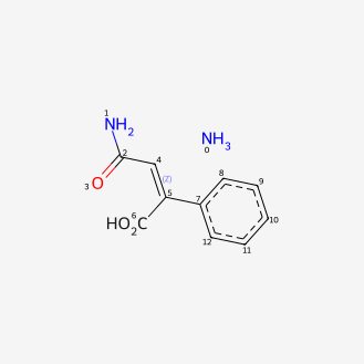 N.NC(=O)/C=C(\C(=O)O)c1ccccc1